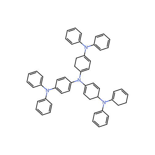 C1=CCCC(N(c2ccccc2)C2C=CC(N(C3=CC=C(N(c4ccccc4)c4ccccc4)CC3)c3ccc(N(c4ccccc4)c4ccccc4)cc3)=CC2)=C1